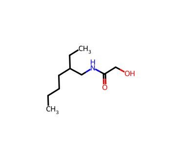 CCCCC(CC)CNC(=O)CO